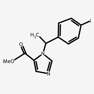 COC(=O)c1cncn1C(C)c1ccc(I)cc1